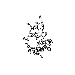 CC[C@H]1OC(=O)[C@@](C)(F)C(=O)[C@H](C)[C@@H](O[C@@H]2O[C@H](C)C[C@H](N(C)C)[C@H]2OC)[C@@]2(C)C[C@@H](C)/C(=N\C)[C@H](C)[C@@H](OCC(=O)CO2)[C@]1(C)O